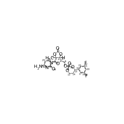 C[C@@]12OC(=O)O[C@@H]1[C@@H](COP1(=O)OCCC(c3cc(F)cc(F)c3)O1)O[C@H]2n1ccc(N)nc1=O